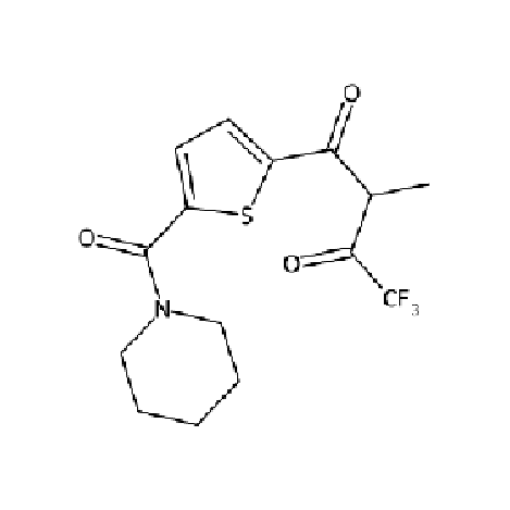 CC(C(=O)c1ccc(C(=O)N2CCCCC2)s1)C(=O)C(F)(F)F